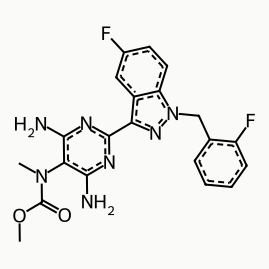 COC(=O)N(C)c1c(N)nc(-c2nn(Cc3ccccc3F)c3ccc(F)cc23)nc1N